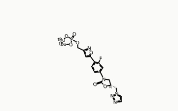 CC(C)(C)OP(=O)(OCc1cc(-c2ccc(N3C[C@H](Cn4ccnn4)OC3=O)cc2F)on1)OC(C)(C)C